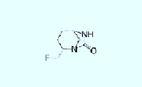 O=C1NC2CC[C@@H](CF)N1C2